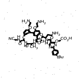 CC1NC(=O)C(N(C)C(=O)C(CCN)NC(=O)c2cnc(-c3ccc(C(C)(C)C)cc3)nc2OCC(=O)O)c2ccc(OCCN)c(c2)-c2cc(ccc2OCCN)CC(C(=O)NCC#N)NC1=O